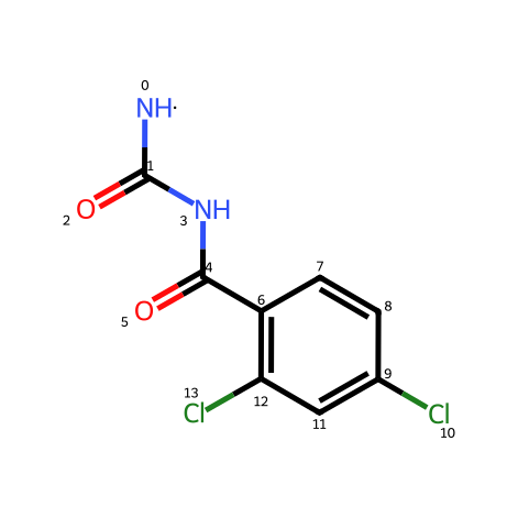 [NH]C(=O)NC(=O)c1ccc(Cl)cc1Cl